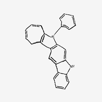 C1=CCc2c(n(-c3ccccc3)c3cc4[nH]c5ccccc5c4cc23)C=C1